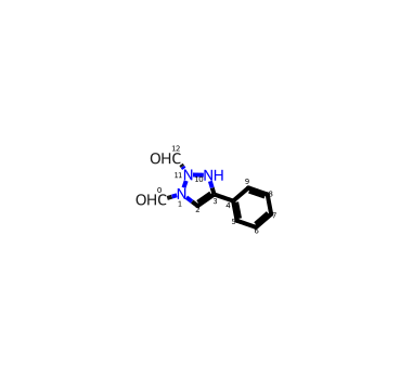 O=CN1C=C(c2ccccc2)NN1C=O